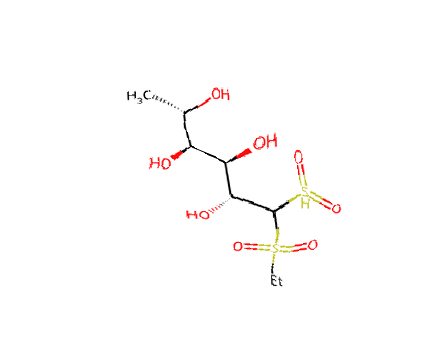 CCS(=O)(=O)C([C@H](O)[C@H](O)[C@@H](O)[C@H](C)O)[SH](=O)=O